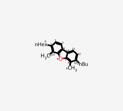 CCCCCCc1ccc2c(oc3c(C)c(CCCC)ccc32)c1C